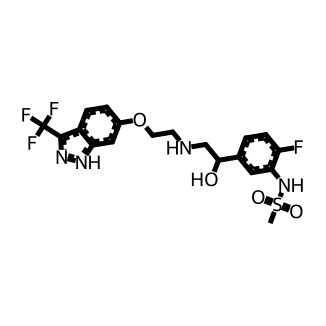 CS(=O)(=O)Nc1cc(C(O)CNCCOc2ccc3c(C(F)(F)F)n[nH]c3c2)ccc1F